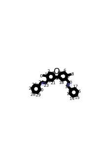 Cc1cc2oc3cc(C)c(/C=C/c4ccccc4)cc3c2cc1/C=C/c1ccccc1